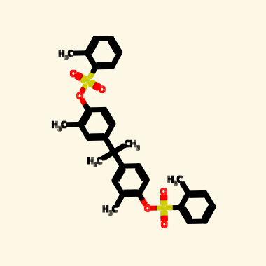 Cc1cc(C(C)(C)c2ccc(OS(=O)(=O)c3ccccc3C)c(C)c2)ccc1OS(=O)(=O)c1ccccc1C